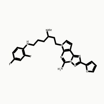 CNC(CCCNc1ccc(F)cc1F)CCn1ccc2c1nc(N)n1nc(-c3ccco3)nc21